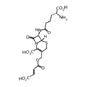 NC(CCCC(=O)N[C@@H]1C(=O)N2C(C(=O)O)=C(COC(=O)C=CC(=O)O)CS[C@@H]12)C(=O)O